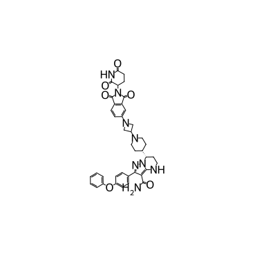 NC(=O)c1c(-c2ccc(Oc3ccccc3)cc2)nn2c1NCC[C@H]2C1CCN(C2CN(c3ccc4c(c3)C(=O)N(C3CCC(=O)NC3=O)C4=O)C2)CC1